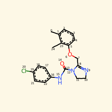 Cc1cccc(OCC2=NCCN2C(=O)Nc2ccc(Cl)cc2)c1C